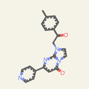 Cc1ccc(C(=O)Cn2ccn3c(=O)cc(-c4ccncc4)nc23)cc1